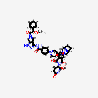 COC(C(=O)N1Cc2[nH]nc(NC(=O)c3ccc(N4CCC(CN5CC6CCC(C5)N6c5ccc6c(c5)C(=O)N(C5CCC(=O)NC5=O)C6=O)CC4)cc3)c2C1)c1ccccc1